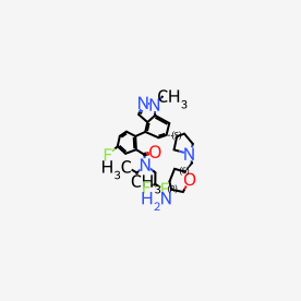 CC(C)N(CC(F)F)C(=O)c1cc(F)ccc1-c1cc([C@@H]2CCN(C[C@@H]3CC[C@@H](N)CO3)C2)cc2c1cnn2C